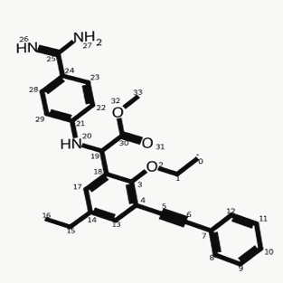 [CH2]COc1c(C#Cc2ccccc2)cc(CC)cc1C(Nc1ccc(C(=N)N)cc1)C(=O)OC